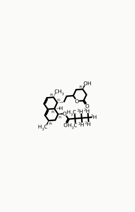 [2H]C([2H])([2H])C([2H])([2H])C(C)(C)C(=O)O[C@H]1C[C@@H](C)C=C2C=C[C@H](C)[C@H](CCC3C[C@@H](O)CC(=O)O3)[C@H]21